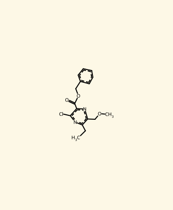 CCc1nc(Cl)c(C(=O)OCc2ccccc2)nc1COC